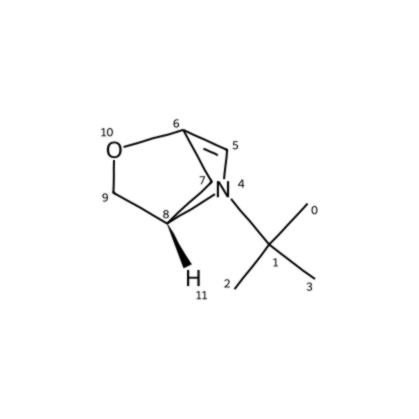 CC(C)(C)N1C=C2C[C@H]1CO2